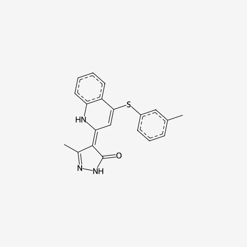 CC1=NNC(=O)C1=C1C=C(Sc2cccc(C)c2)c2ccccc2N1